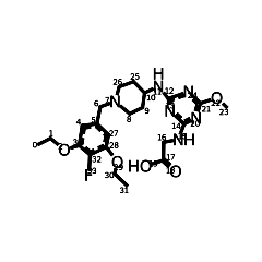 CCOc1cc(CN2CCC(Nc3nc(NCC(=O)O)nc(OC)n3)CC2)cc(OCC)c1F